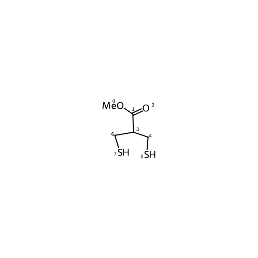 COC(=O)C(CS)CS